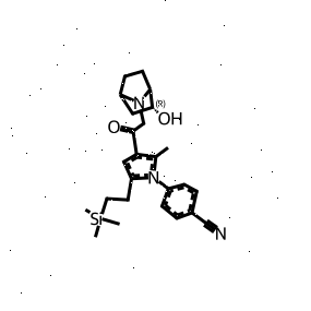 Cc1c(C(=O)CN2C3CCC2[C@H](O)C3)cc(CC[Si](C)(C)C)n1-c1ccc(C#N)cc1